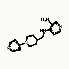 Nc1cnccc1NCC1CCN(c2ccncc2)CC1